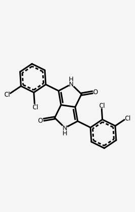 O=C1NC(c2cccc(Cl)c2Cl)=C2C(=O)NC(c3cccc(Cl)c3Cl)=C12